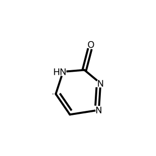 O=c1nnc[c][nH]1